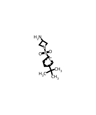 CC(C)(C)c1ccc(S(=O)(=O)N2CC(N)C2)cc1